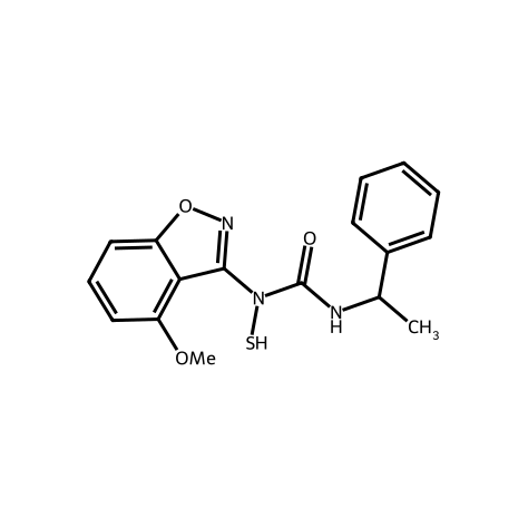 COc1cccc2onc(N(S)C(=O)NC(C)c3ccccc3)c12